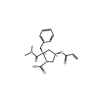 C=CC(=O)O[C@H]1CN(C(=O)O)[C@](Cc2ccccc2)(C(=O)N(C)C)C1